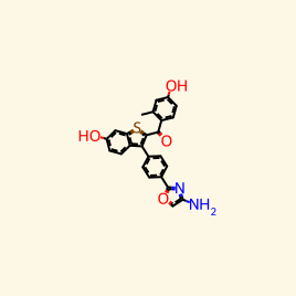 Cc1cc(O)ccc1C(=O)c1sc2cc(O)ccc2c1-c1ccc(-c2nc(N)co2)cc1